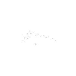 CCCCCCCCCCCC(=O)OS(=O)(=O)C(C)CO.[NaH]